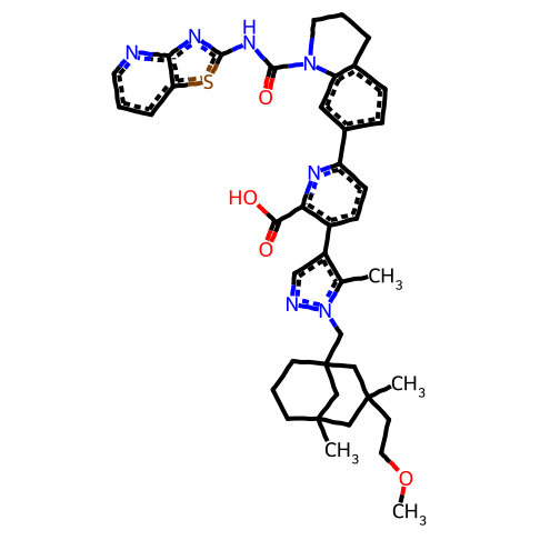 COCCC1(C)CC2(C)CCCC(Cn3ncc(-c4ccc(-c5ccc6c(c5)N(C(=O)Nc5nc7ncccc7s5)CCC6)nc4C(=O)O)c3C)(C2)C1